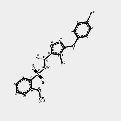 CCn1c(Oc2ccc(F)cc2)nnc1[C@@H](C)NS(=O)(=O)c1ccccc1OC(F)(F)F